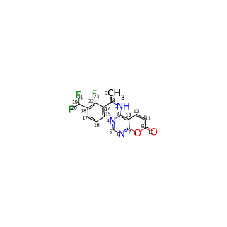 C[C@@H](Nc1ncnc2oc(=O)[c]cc12)c1cccc(C(F)F)c1F